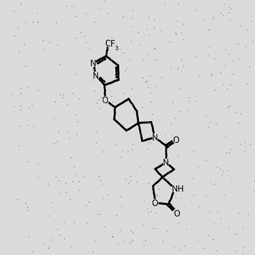 O=C1NC2(CO1)CN(C(=O)N1CC3(CCC(Oc4ccc(C(F)(F)F)nn4)CC3)C1)C2